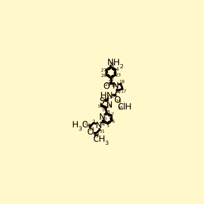 C[C@@H]1CN(c2cccc(-c3csc(NC(=O)[C@@H]4CCN4C(=O)c4ccc(N)cc4)n3)n2)C[C@H](C)O1.Cl